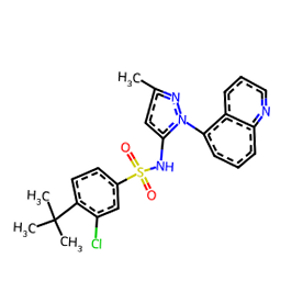 Cc1cc(NS(=O)(=O)c2ccc(C(C)(C)C)c(Cl)c2)n(-c2cccc3ncccc23)n1